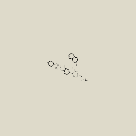 CC(C)(C)OC(=O)N1CCC(c2ccc(CNS(=O)(=O)c3ccccc3)cc2)C(OCc2ccc3ccccc3c2)C1